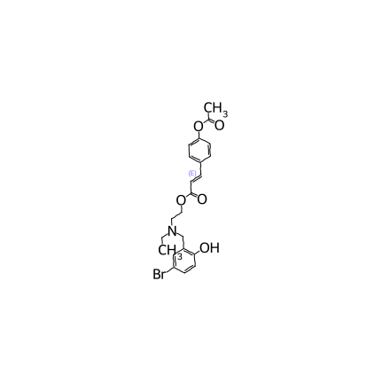 CCN(CCOC(=O)/C=C/c1ccc(OC(C)=O)cc1)Cc1cc(Br)ccc1O